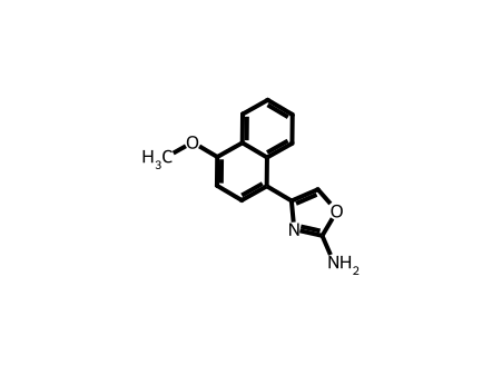 COc1ccc(-c2coc(N)n2)c2ccccc12